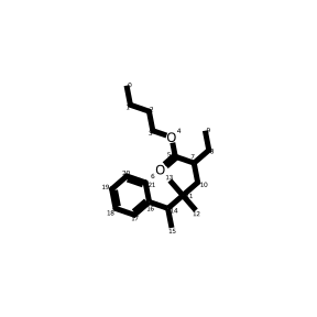 CCCCOC(=O)C(CC)CC(C)(C)C(C)c1ccccc1